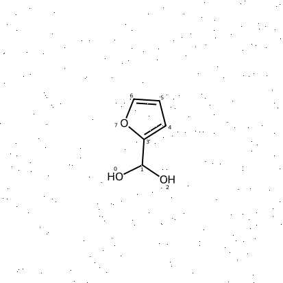 OC(O)c1cc[c]o1